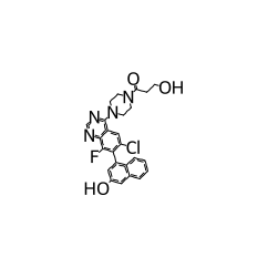 O=C(CCO)N1CCN(c2ncnc3c(F)c(-c4cc(O)cc5ccccc45)c(Cl)cc23)CC1